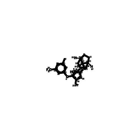 Cc1cc(Oc2nc(N[C@@H]3[C@@H]4CC[C@H]3CN(C(=O)O)C4)nn2C(C)C)cc(C(F)(F)F)c1